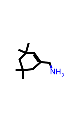 CC1(C)C=C(CN)CC(C)(C)C1